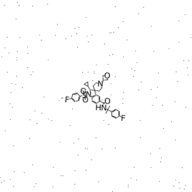 CC(C)(NC(=O)c1ccc2c(c1)C1(CCN(C3COC3)CC1)C(C1CC1)N2S(=O)(=O)c1ccc(F)cc1)c1ccc(F)cc1